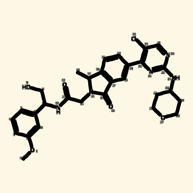 COc1cccc(C(CO)NC(=O)CN2C(=O)c3cc(-c4nc(NC5CCOCC5)ncc4Cl)ccc3C2C)c1